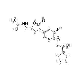 CC(=O)NC[C@H]1CN(c2ccc(OCC(O)[C@H]3CCNC3)c(F)c2)C(=O)O1